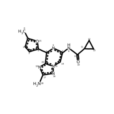 Cc1ccc(-c2nc(NC(=O)C3CC3)cn3nc(N)nc23)o1